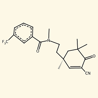 CN(CC[C@]1(C)C=C(C#N)C(=O)C(C)(C)C1)C(=O)c1cccc(C(F)(F)F)c1